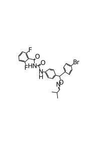 CC(C)C=NOC(c1ccc(Br)cc1)c1ccc(NC(=O)NC(=O)c2c(F)cccc2F)cc1